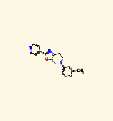 Cc1cccc(N2CCc3nc(-c4ccncc4)oc3C2)c1